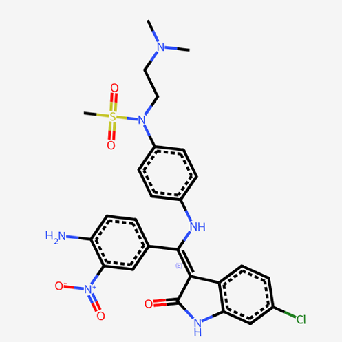 CN(C)CCN(c1ccc(N/C(=C2/C(=O)Nc3cc(Cl)ccc32)c2ccc(N)c([N+](=O)[O-])c2)cc1)S(C)(=O)=O